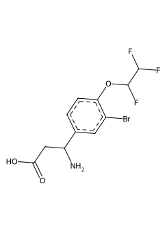 NC(CC(=O)O)c1ccc(OC(F)C(F)F)c(Br)c1